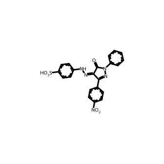 O=C1C(=NNc2ccc(S(=O)(=O)O)cc2)C(c2ccc([N+](=O)[O-])cc2)=NN1c1ccccc1